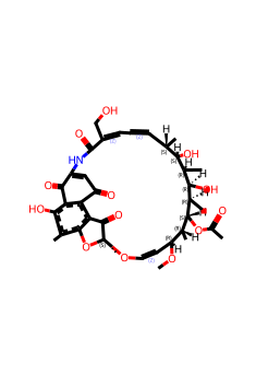 CO[C@H]1/C=C\O[C@@]2(C)Oc3c(C)c(O)c4c(c3C2=O)C(=O)C=C(NC(=O)/C(CO)=C\C=C/[C@H](C)[C@H](O)[C@@H](C)[C@@H](O)[C@@H](C)[C@H](OC(C)=O)[C@@H]1C)C4=O